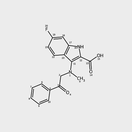 CN(CC(=O)c1ccccc1)c1c(C(=O)O)[nH]c2cc(F)ccc12